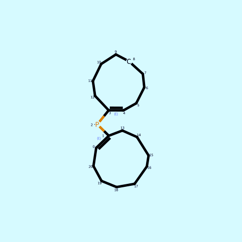 C1=C(/[P]/C2=C/CCCCCCCC2)CCCCCCCC/1